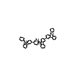 c1ccc(-n2c3ccccc3c3cc(-c4ccc(-n5c6ccccc6c6cc(-c7ccc8c(c7)c7ccccc7n8-c7ccccc7)ccc65)nc4)ccc32)cc1